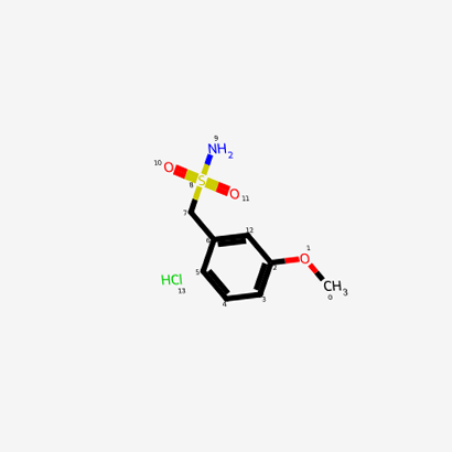 COc1cccc(CS(N)(=O)=O)c1.Cl